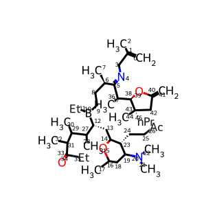 C=C(C)C/N=C(\[C@H](C)CCB(CC)[C@H](CC1OC(C)CC(N(C)C)[C@H]1CCC(C)=O)C(C)C(C)C(C)C(=O)CC)[C@H](C)[C@H]1OC(=C)C[C@]1(C)CCC